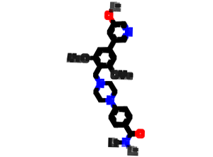 CCOc1cncc(-c2cc(OC)c(CN3CCN(c4ccc(C(=O)N(CC)CC)cc4)CC3)c(OC)c2)c1